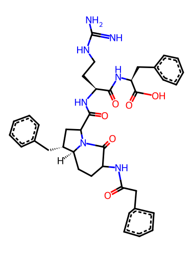 N=C(N)NCC[C@H](NC(=O)C1C[C@@H](Cc2ccccc2)[C@@H]2CCC(NC(=O)Cc3ccccc3)C(=O)N12)C(=O)N[C@@H](Cc1ccccc1)C(=O)O